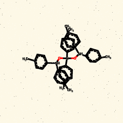 Cc1ccc([SiH](O[Si](O[SiH](c2ccc(C)cc2)c2ccc(C)cc2)(c2ccc(C)cc2)c2ccc(C)cc2)c2ccc(C)cc2)cc1